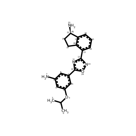 CC(C)Oc1cc(N)cc(-c2nc(-c3cccc4c3CC[C@H]4N)no2)c1